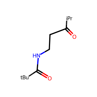 CC(C)C(=O)CCNC(=O)C(C)(C)C